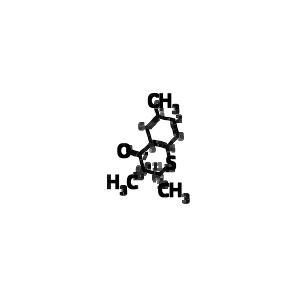 Cc1ccc2c(c1)C(=O)[C@@H](C)[C@@H](C)S2